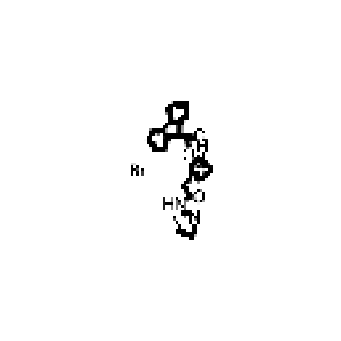 O=C(C[N+]12CCC(CC1)[C@@H](OC(=O)C1c3ccccc3-c3ccccc31)C2)Nc1ncccn1.[Br-]